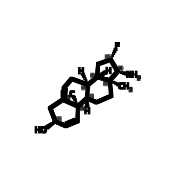 C[C@]12CC[C@H]3[C@@H](CC=C4C[C@H](O)C=C[C@@]43C)[C@@H]1C[C@H](F)[C@@H]2N